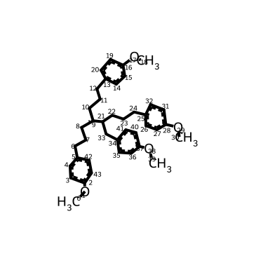 COc1ccc(CCC[C](CCCc2ccc(OC)cc2)C(CCCc2ccc(OC)cc2)Cc2ccc(OC)cc2)cc1